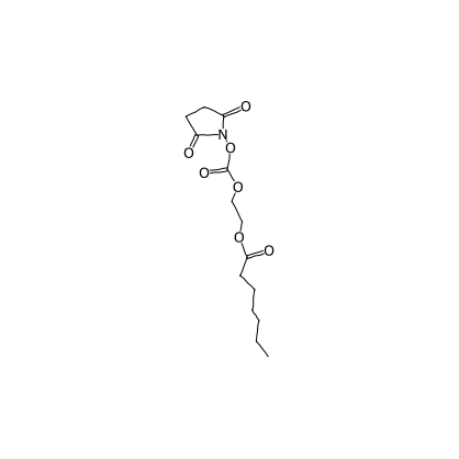 CCCCCCC(=O)OCCOC(=O)ON1C(=O)CCC1=O